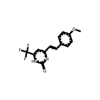 COc1ccc(/C=C/c2cc(C(F)(F)F)[nH]c(=O)n2)cc1